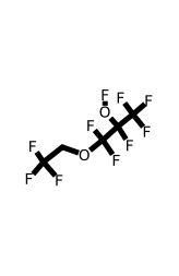 FOC(F)(C(F)(F)F)C(F)(F)OCC(F)(F)F